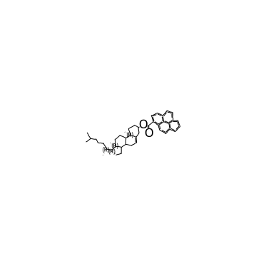 CC(C)CCC[C@@H](C)[C@H]1CCC2C3CC=C4CC(OC(=O)c5ccc6ccc7cccc8ccc5c6c78)CC[C@]4(C)C3CC[C@@]21C